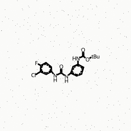 CC(C)(C)OC(=O)Nc1cccc(NC(=O)Nc2ccc(F)c(Cl)c2)c1